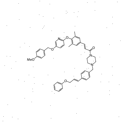 COc1ccc(COc2ccc(Oc3c(C)cc(C=CC(=O)N4CCN(Cc5ccc(C=CCOc6ccccc6)cc5)CC4)cc3C)nc2)cc1